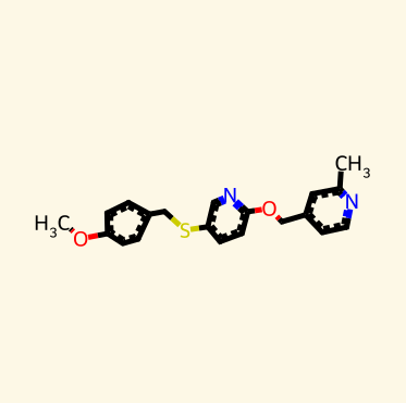 COc1ccc(CSc2ccc(OCc3ccnc(C)c3)nc2)cc1